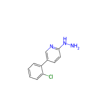 NNc1ccc(-c2ccccc2Cl)cn1